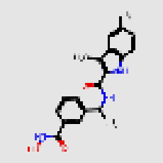 Cc1ccc2[nH]c(C(=O)NC(C)c3cccc(C(=O)NO)c3)c(C)c2c1